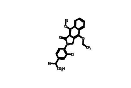 CCOc1c2c(c(OCC(F)(F)F)c3ccccc13)CN(c1ccc(C(CC)C(=O)O)cc1Cl)C2=O